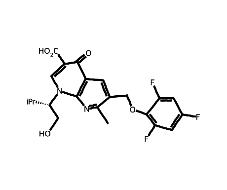 Cc1nc2c(cc1COc1c(F)cc(F)cc1F)c(=O)c(C(=O)O)cn2[C@H](CO)C(C)C